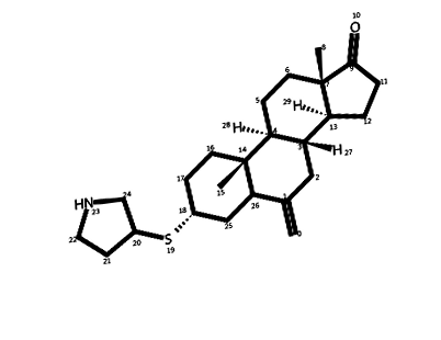 C=C1C[C@@H]2[C@H](CC[C@]3(C)C(=O)CC[C@@H]23)[C@@]2(C)CC[C@@H](SC3CCNC3)CC12